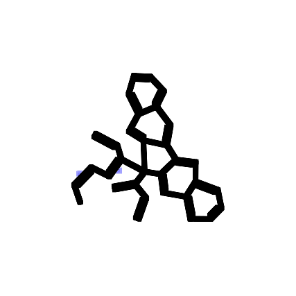 C=CC(=C)C1(/C(C=C)=C/C=C\C)c2cc3ccccc3cc2-c2cc3ccccc3cc21